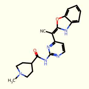 CN1CCC(C(=O)Nc2nccc(C(C#N)=C3Nc4ccccc4O3)n2)CC1